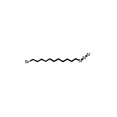 [N-]=[N+]=NCCCCCCCCCCCBr